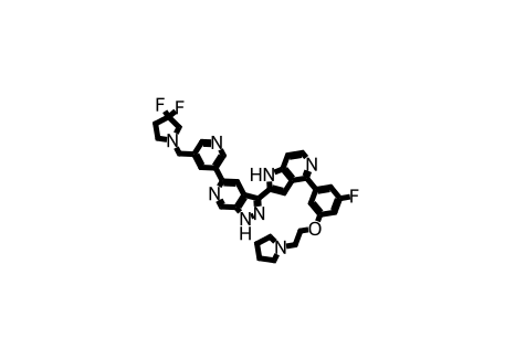 Fc1cc(OCCN2CCCC2)cc(-c2nccc3[nH]c(-c4n[nH]c5cnc(-c6cncc(CN7CCC(F)(F)C7)c6)cc45)cc23)c1